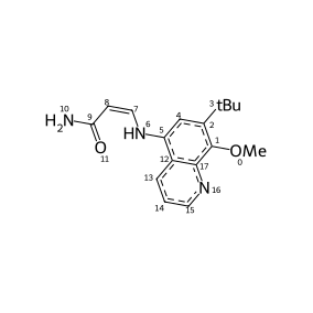 COc1c(C(C)(C)C)cc(N/C=C\C(N)=O)c2cccnc12